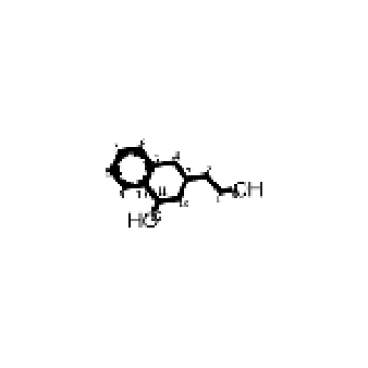 OCCC1Cc2ccccc2C(O)C1